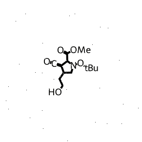 COC(=O)C1C(=C=O)C(CCO)CN1OC(C)(C)C